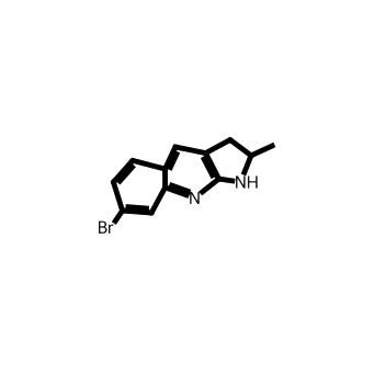 CC1Cc2cc3ccc(Br)cc3nc2N1